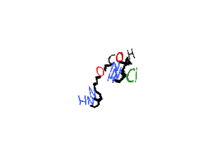 O=C(O)[C@H](CCOCCCCc1ccc2c(n1)NCCC2)NC(=O)C1(C2=C(Cl)CC=N2)CC1